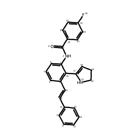 O=C(Nc1cccc(/C=C/c2ccccc2)c1C1=CCCN1)c1ccc(F)cc1